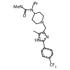 CNC(=O)N(C(C)C)C1CCN(Cc2nc(-c3ccc(C(F)(F)F)cc3)[nH]c2C)CC1